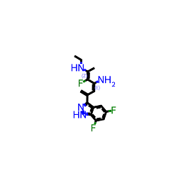 C=C(/C=C(N)\C(F)=C(/C)NCC)c1n[nH]c2c(F)cc(F)cc12